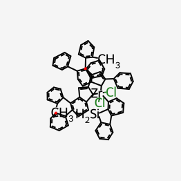 Cc1ccccc1-c1c(-c2ccccc2)ccc2c1C=C(c1ccccc1)[CH]2[Zr]([Cl])([Cl])([c]1cccc2c1[SiH2]c1ccccc1-2)[CH]1C(c2ccccc2)=Cc2c1ccc(-c1ccccc1)c2-c1ccccc1C